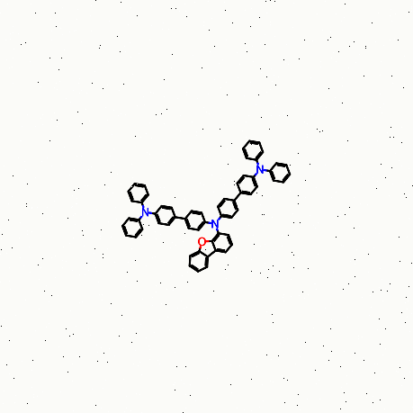 c1ccc(N(c2ccccc2)c2ccc(-c3ccc(N(c4ccc(-c5ccc(N(c6ccccc6)c6ccccc6)cc5)cc4)c4cccc5c4oc4ccccc45)cc3)cc2)cc1